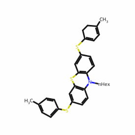 CCCCCCN1c2ccc(SC3=CC=C(C)CC3)cc2Sc2cc(Sc3ccc(C)cc3)ccc21